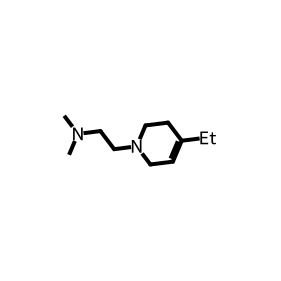 CCC1=CCN(CCN(C)C)CC1